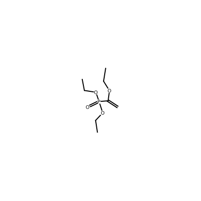 C=C(OCC)P(=O)(OCC)OCC